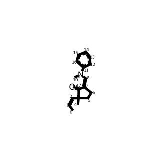 C/C=C\C1(C)CC/C(=C/N(C)c2ccccc2)C1=O